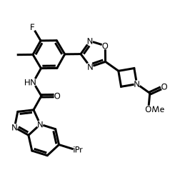 COC(=O)N1CC(c2nc(-c3cc(F)c(C)c(NC(=O)c4cnc5ccc(C(C)C)cn45)c3)no2)C1